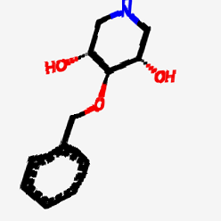 O[C@@H]1CNC[C@H](O)[C@H]1OCc1ccccc1